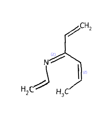 C=C/N=C(C=C)\C=C/C